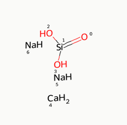 O=[Si](O)O.[CaH2].[NaH].[NaH]